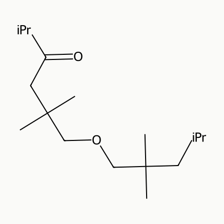 CC(C)CC(C)(C)COCC(C)(C)CC(=O)C(C)C